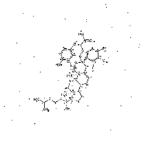 CC(C)CCC[C@@H](C)[C@H]1CCC2C3CC=C4CC(c5ccc(S)c(Cl)c5Cl)(C(CCC(=O)O)c5c(Cl)ccc(S)c5N)CC[C@]4(C)C3CC[C@@]21C